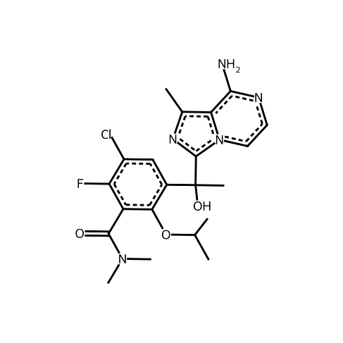 Cc1nc(C(C)(O)c2cc(Cl)c(F)c(C(=O)N(C)C)c2OC(C)C)n2ccnc(N)c12